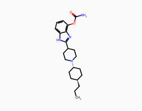 CCC[C@H]1CC[C@H](N2CCC(c3nc4c(OC(N)=O)cccc4[nH]3)CC2)CC1